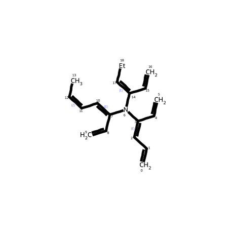 C=C/C=C(\C=C)N(/C(C=C)=C/C=C\C)/C(C=C)=C/CC